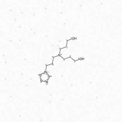 OCCCN(CCCO)CCCn1ccnc1